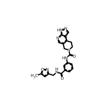 Cc1cc(CNC(=O)c2cccc(NC(=O)N3CCc4c(cnc5[nH]ncc45)C3)c2)no1